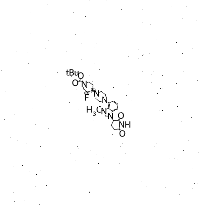 CN1CN(C2CCC(=O)NC2=O)c2cccc(N3CCN([C@@H]4CCN(C(=O)OC(C)(C)C)C[C@H]4F)CC3)c21